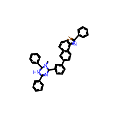 CN1C(c2cccc(-c3ccc4c(ccc5sc(-c6ccccc6)nc54)c3)c2)N=C(c2ccccc2)NC1c1ccccc1